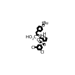 CC(C)(C)Oc1ccc(C[C@H](NC(=O)c2[nH]ccc2S(=O)(=O)c2cc(Cl)cc(Cl)c2)C(=O)O)cc1